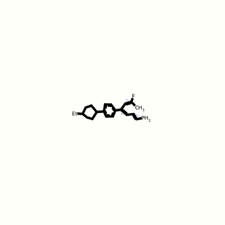 CCC1CCC(c2ccc(C(/C=C(\C)F)=C/C=C/P)cc2)CC1